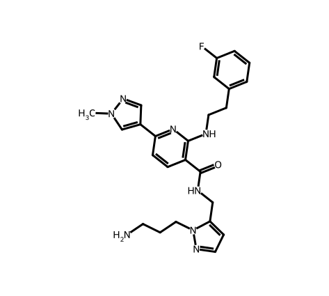 Cn1cc(-c2ccc(C(=O)NCc3ccnn3CCCN)c(NCCc3cccc(F)c3)n2)cn1